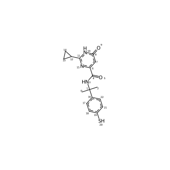 CC(C)(NC(=O)c1cc(=O)[nH]c(C2CC2)n1)c1ccc(S)cc1